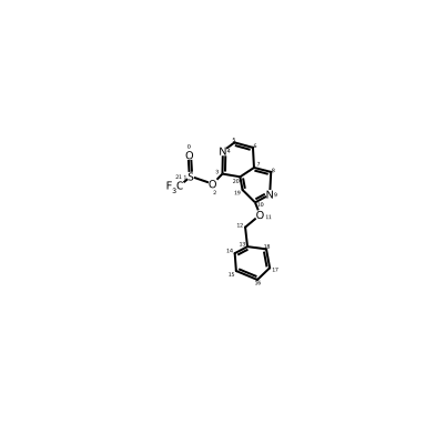 O=S(Oc1nccc2cnc(OCc3ccccc3)cc12)C(F)(F)F